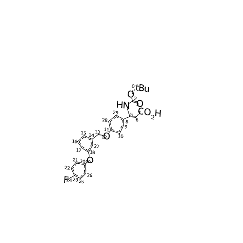 CC(C)(C)OC(=O)N[C@@H](CC(=O)O)c1ccc(OCc2cccc(Oc3ccc(F)cc3)c2)cc1